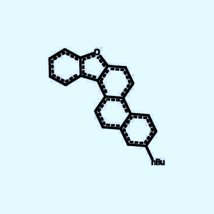 CCCCc1ccc2c(ccc3c2ccc2oc4ccccc4c23)c1